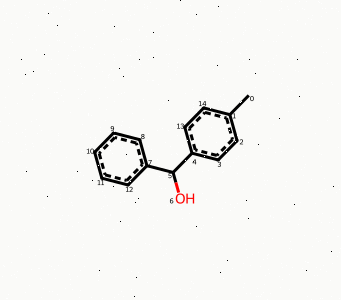 Cc1ccc(C(O)c2ccccc2)cc1